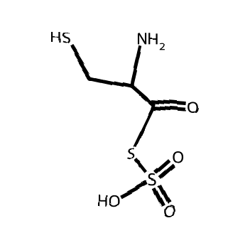 NC(CS)C(=O)SS(=O)(=O)O